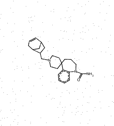 NC(=O)N1CCCC2(CCN(CC3CC4C=CCC3C4)CC2)c2ccccc21